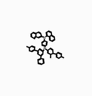 CC1C=CC(c2cc(-c3ccccc3)cc(N(C3=CC(C)C(C4=CCC(C)C=C4)C=C3)c3ccc(N(c4ccc5ccccc5c4)c4cccc5ccccc45)cc3)c2)=CC1